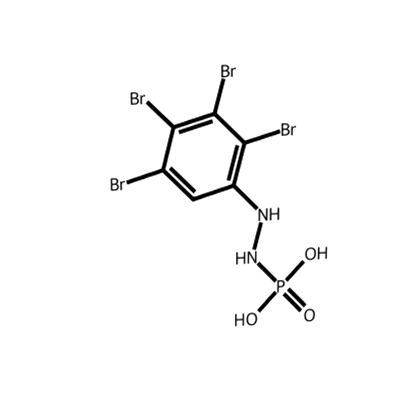 O=P(O)(O)NNc1cc(Br)c(Br)c(Br)c1Br